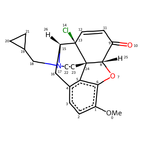 COc1ccc2c3c1O[C@H]1C(=O)C=C[C@@]4(Cl)[C@@H](C2)N(CC2CC2)CC[C@]314